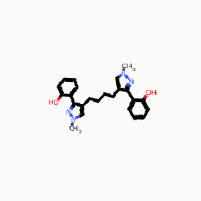 Cn1cc(CCCCc2cn(C)nc2-c2ccccc2O)c(-c2ccccc2O)n1